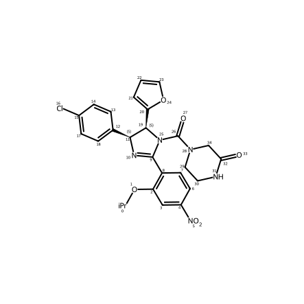 CC(C)Oc1cc([N+](=O)[O-])ccc1C1=N[C@@H](c2ccc(Cl)cc2)[C@@H](c2ccco2)N1C(=O)N1CCNC(=O)C1